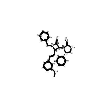 COc1cccc(C=CC2C(N3C(=O)OC[C@@H]3c3ccccc3)C(=O)N2Cc2ccccc2)c1